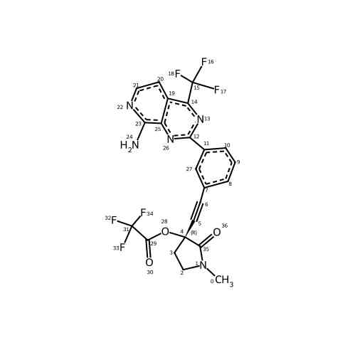 CN1CC[C@](C#Cc2cccc(-c3nc(C(F)(F)F)c4ccnc(N)c4n3)c2)(OC(=O)C(F)(F)F)C1=O